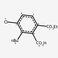 CCCCc1c(Cl)ccc(C(=O)OCC)c1C(=O)O